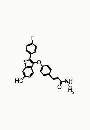 CNC(=O)C=Cc1ccc(Oc2c(-c3ccc(F)cc3)sc3cc(O)ccc23)cc1